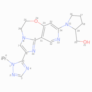 CC(C)n1ncnc1-c1cn2c(n1)-c1cnc(N3CCCC3CO)cc1OCC2